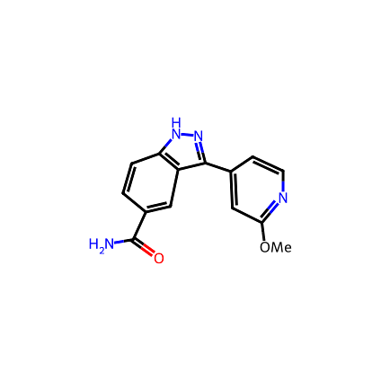 COc1cc(-c2n[nH]c3ccc(C(N)=O)cc23)ccn1